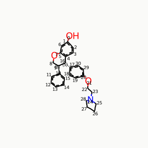 Oc1ccc2c(c1)OC[C@H](c1ccccc1)[C@H]2c1ccc(OCCN2CCCC2)cc1